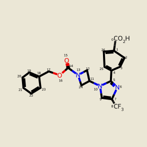 O=C(O)c1ccc(-c2nc(C(F)(F)F)cn2C2CN(C(=O)OCc3ccccc3)C2)cc1